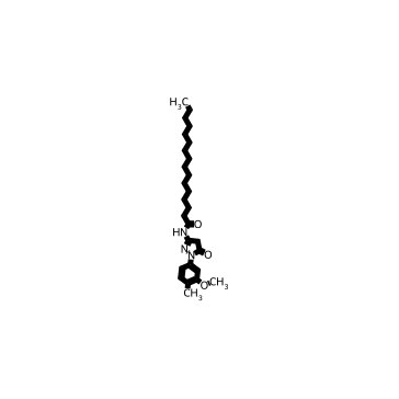 CCCCCCCCCCCCCCCC(=O)NC1=NN(c2ccc(C)c(OC)c2)C(=O)C1